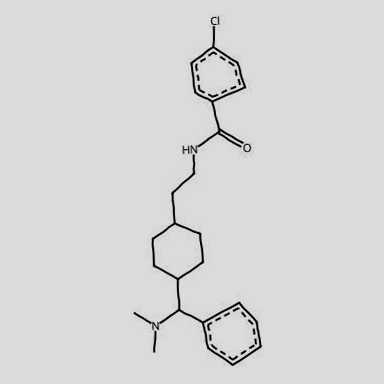 CN(C)C(c1ccccc1)C1CCC(CCNC(=O)c2ccc(Cl)cc2)CC1